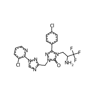 NC(Cn1c(-c2ccc(Cl)cc2)nn(Cc2ncn(-c3ncccc3Cl)n2)c1=O)C(F)(F)F